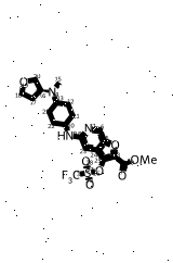 COC(=O)c1oc2cnc(NC3CCC(N(C)[C@H]4CCOC4)CC3)cc2c1OS(=O)(=O)C(F)(F)F